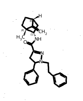 C=C1[C@@H]2CC[C@@]1(C)[C@@H](NC(=O)C1=NN(CCc3ccccc3)C(c3ccccc3)C1)C2